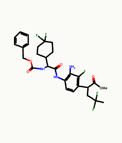 COC(=O)C(CC(C)(F)F)c1ccc(NC(=O)C(NC(=O)OCc2ccccc2)C2CCC(F)(F)CC2)c(N)c1F